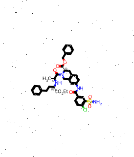 CCOC(=O)[C@H](CCc1ccccc1)N[C@@H](C)C(=O)N1Cc2cc(NC(=O)c3ccc(Cl)c(S(N)(=O)=O)c3)ccc2C[C@H]1C(=O)OCc1ccccc1